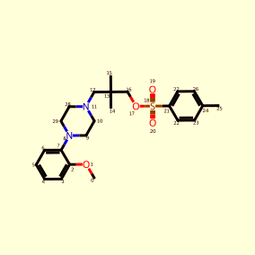 COc1ccccc1N1CCN(CC(C)(C)COS(=O)(=O)c2ccc(C)cc2)CC1